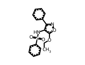 CCOc1onc(-c2ccccc2)c1NS(=O)(=O)c1ccccc1